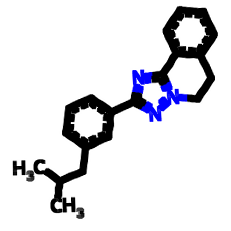 CC(C)Cc1cccc(-c2nc3n(n2)CCc2ccccc2-3)c1